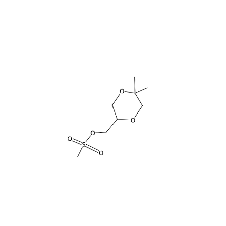 CC1(C)COC(COS(C)(=O)=O)CO1